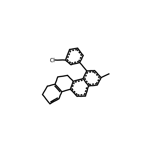 Cc1cc(-c2cccc(Cl)c2)c2c3c(ccc2c1)C1=C(CCC=C1)CC3